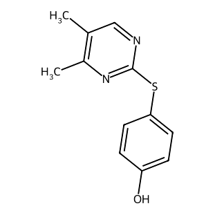 Cc1cnc(Sc2ccc(O)cc2)nc1C